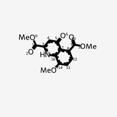 COC(=O)c1cc(=O)c2c(C(=O)OC)ccc(OC)c2[nH]1